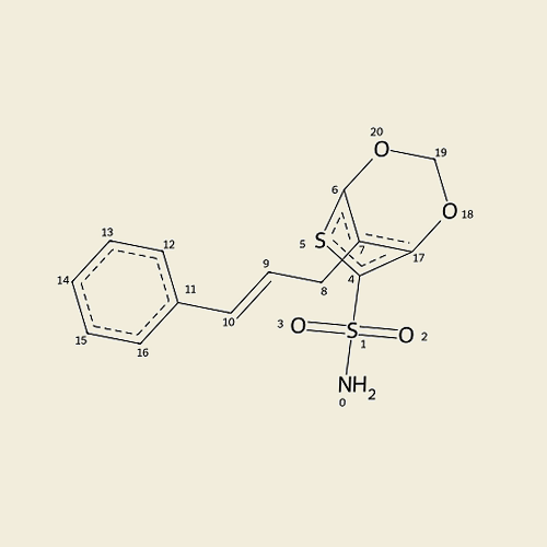 NS(=O)(=O)c1sc2c(CC=Cc3ccccc3)c1OCO2